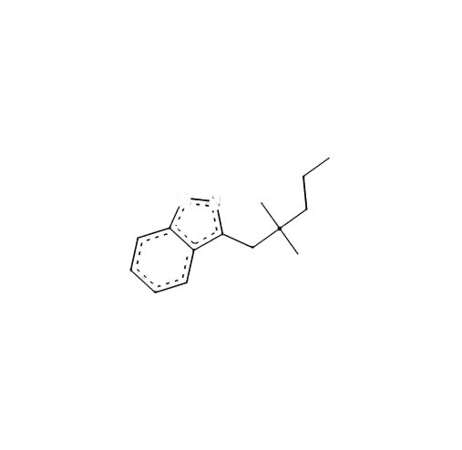 CCCC(C)(C)Cc1noc2ccccc12